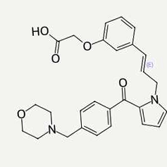 O=C(O)COc1cccc(/C=C/Cn2cccc2C(=O)c2ccc(CN3CCOCC3)cc2)c1